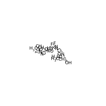 CC(C)(C)OC(=O)N(CCCCCO)Cc1ccc(-n2cc(NC(=O)c3coc(-c4ccnc(N(CC5CC5)C(=O)OC(C)(C)C)c4)n3)c(C(F)F)n2)cc1